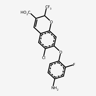 Nc1ccc(Oc2cc3c(cc2Cl)C=C(C(=O)O)C(C(F)(F)F)O3)c(F)c1